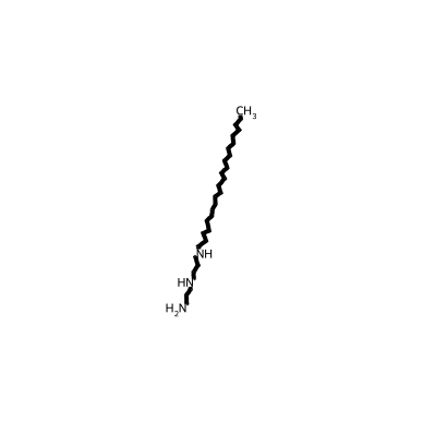 CCCCCCCCCCCCCCCCCCCCCCCNCCCCNCCCN